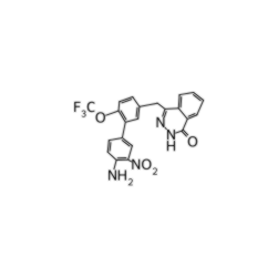 Nc1ccc(-c2cc(Cc3n[nH]c(=O)c4ccccc34)ccc2OC(F)(F)F)cc1[N+](=O)[O-]